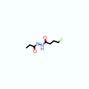 CCC(=O)[N]NC(=O)CCCF